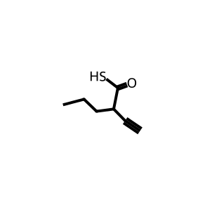 C#CC(CCC)C(=O)S